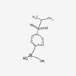 CC(C)S(=N)(=O)c1ccc(B(O)O)cc1